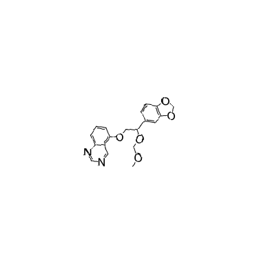 COCOC(COc1cccc2ncncc12)c1ccc2c(c1)OCO2